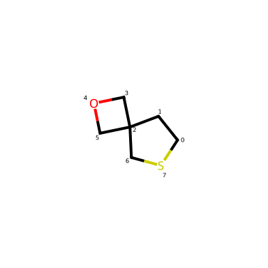 C1CC2(COC2)CS1